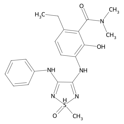 CCc1ccc(NC2=N[SH](C)(=O)N=C2Nc2ccccc2)c(O)c1C(=O)N(C)C